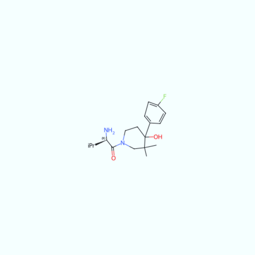 CC(C)[C@@H](N)C(=O)N1CCC(O)(c2ccc(F)cc2)C(C)(C)C1